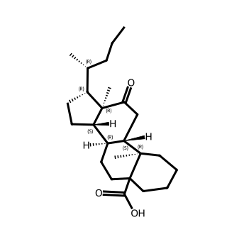 CCC[C@@H](C)[C@H]1CC[C@H]2[C@@H]3CCC4(C(=O)O)CCCC[C@]4(C)[C@H]3CC(=O)[C@]12C